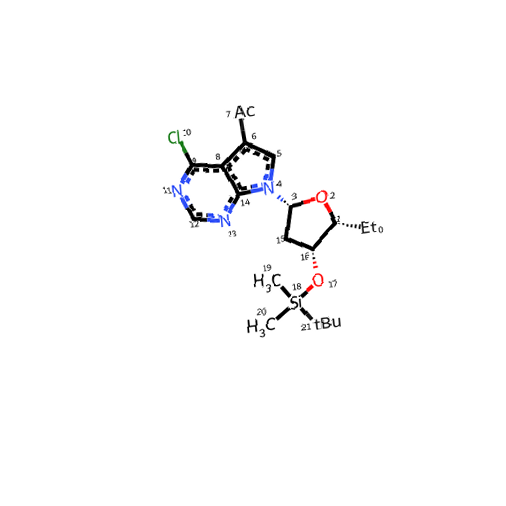 CC[C@H]1O[C@@H](n2cc(C(C)=O)c3c(Cl)ncnc32)C[C@H]1O[Si](C)(C)C(C)(C)C